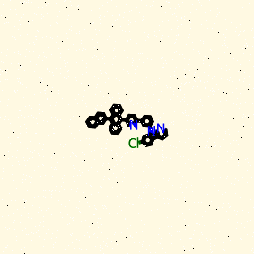 Clc1ccc2c3cccnc3n(-c3cccc(-c4ccc(-c5c6ccccc6c(-c6ccc7ccccc7c6)c6ccccc56)cn4)c3)c2c1